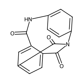 O=c1[nH]c2ccc(cc2)n2c(=O)c3ccc(c2=O)c1c3